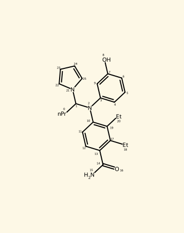 CCCC(N(c1cccc(O)c1)c1ccc(C(N)=O)c(CC)c1CC)n1cccc1